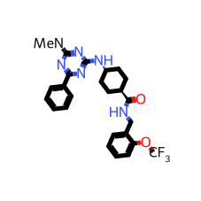 CNc1nc(N[C@H]2CC[C@H](C(=O)NCc3ccccc3OC(F)(F)F)CC2)nc(-c2ccccc2)n1